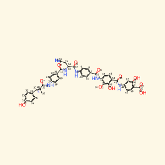 COc1c(NC(=O)c2ccc(NC(=O)[C@H](CC#N)NC(=O)c3ccc(NC(=O)/C(C)=C/c4ccc(O)cc4)cc3)cc2)ccc(C(=O)Nc2ccc(C(=O)O)c(O)c2)c1O